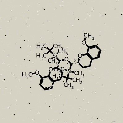 COc1cccc2c1O[C@@H](C(OC([C@H]1CCc3cccc(OC)c3O1)[Si](C)(C)C(C)(C)C)[Si](C)(C)C(C)(C)C)CC2